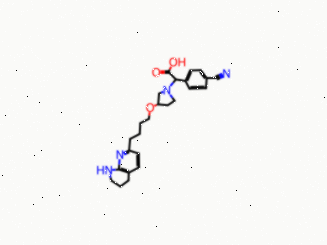 N#Cc1ccc(C(C(=O)O)N2CC[C@@H](OCCCCc3ccc4c(n3)NCCC4)C2)cc1